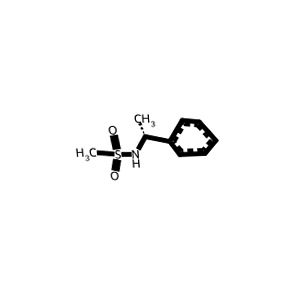 C[C@@H](NS(C)(=O)=O)c1ccccc1